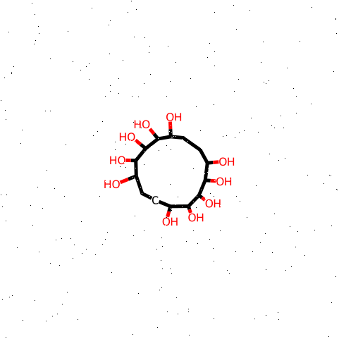 OC1CCC(O)C(O)C(O)C(O)C(O)CCC(O)C(O)C(O)C1O